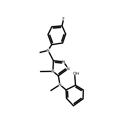 CN(c1ccc(F)cc1)c1nnc(N(C)c2ccccc2O)n1C